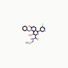 O=C(O)CNC(=O)c1nc(-c2cncc(F)c2)c2ccc(=O)n(Cc3ccccc3)c2c1O